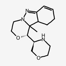 CC12C3CCC=CC3=NN1CCO[C@H]2[C@@H]1COCCN1